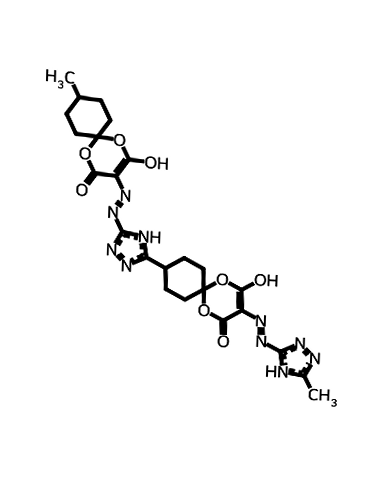 Cc1nnc(N=NC2=C(O)OC3(CCC(c4nnc(N=NC5=C(O)OC6(CCC(C)CC6)OC5=O)[nH]4)CC3)OC2=O)[nH]1